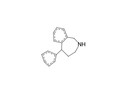 c1ccc(C2CCNCc3ccccc32)cc1